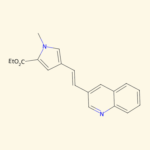 CCOC(=O)c1cc(C=Cc2cnc3ccccc3c2)cn1C